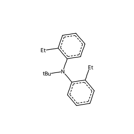 CCc1ccccc1N(c1ccccc1CC)C(C)(C)C